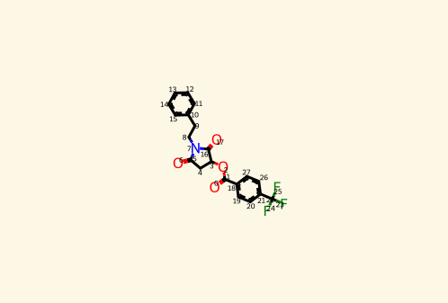 O=C(OC1CC(=O)N(CCc2ccccc2)C1=O)c1ccc(C(F)(F)F)cc1